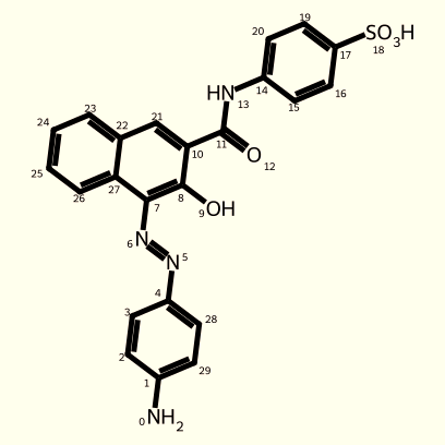 Nc1ccc(N=Nc2c(O)c(C(=O)Nc3ccc(S(=O)(=O)O)cc3)cc3ccccc23)cc1